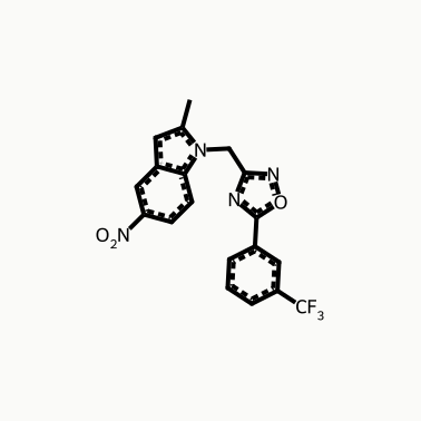 Cc1cc2cc([N+](=O)[O-])ccc2n1Cc1noc(-c2cccc(C(F)(F)F)c2)n1